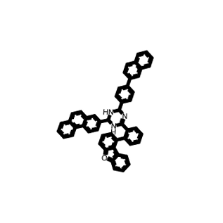 c1ccc(-c2cccc3oc4ccccc4c23)c(C2=NC(c3ccc(-c4ccc5ccccc5c4)cc3)NC(c3ccc4c(ccc5ccccc54)c3)N2)c1